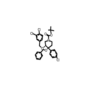 CC(C)(C)OC(=O)N1CC[C@](OCc2ccccc2)(c2ccc(Cl)cc2)[C@@H](OCc2ccc(Cl)c(Cl)c2)C1